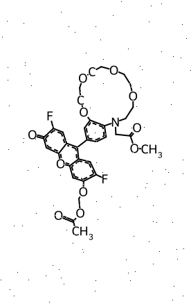 COC(=O)CN1CCOCCOCCOCCOc2cc(-c3c4cc(F)c(=O)cc-4oc4cc(OCOC(C)=O)c(F)cc34)ccc21